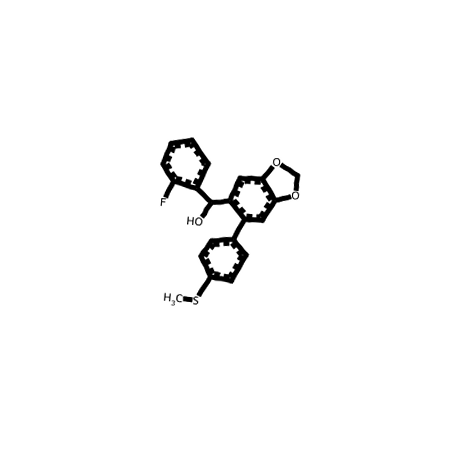 CSc1ccc(-c2cc3c(cc2C(O)c2ccccc2F)OCO3)cc1